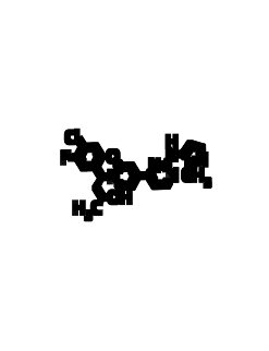 C[C@@H](O)C[C@@H](c1ccc(Cl)c(F)c1)n1ccc(-c2ccnc(Nc3ccnn3C)n2)cc1=O